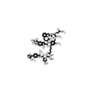 Cc1cc(CCCCC(=O)N[C@H](C(=O)N2C[C@H](O)C[C@H]2C(=O)N[C@@H](C)c2ccc(-c3scnc3C)cc2)C(C)(C)C)ccc1CO[C@H](C)[C@H](CCC(N)=O)NC(=O)[C@@H]1Cc2cccc3c2N1C(=O)[C@@H](NC(=O)c1cc2cc(C(=O)P(=O)(O)O)ccc2[nH]1)CC3